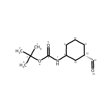 CC(C)(C)OC(=O)NC1CCC[C@H](C=O)C1